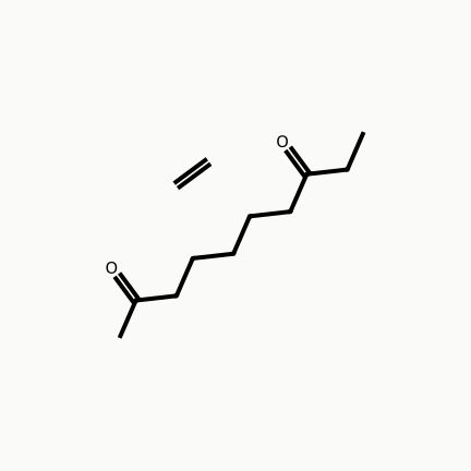 C=C.CCC(=O)CCCCCC(C)=O